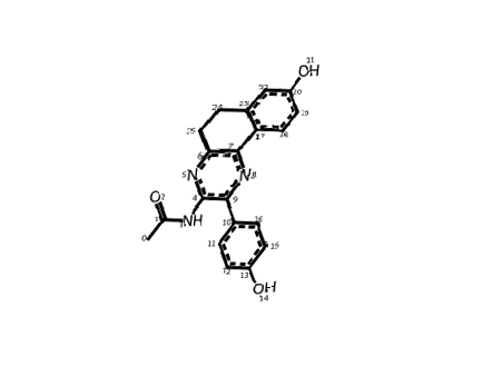 CC(=O)Nc1nc2c(nc1-c1ccc(O)cc1)-c1ccc(O)cc1CC2